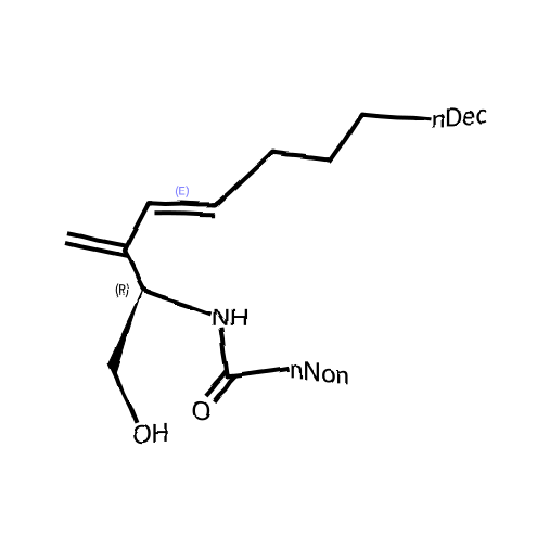 C=C(/C=C/CCCCCCCCCCCCC)[C@H](CO)NC(=O)CCCCCCCCC